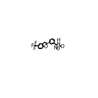 O=c1[nH]c(-c2cccc([C@@H]3Cc4cc(C(F)(F)F)ccc4O3)c2)no1